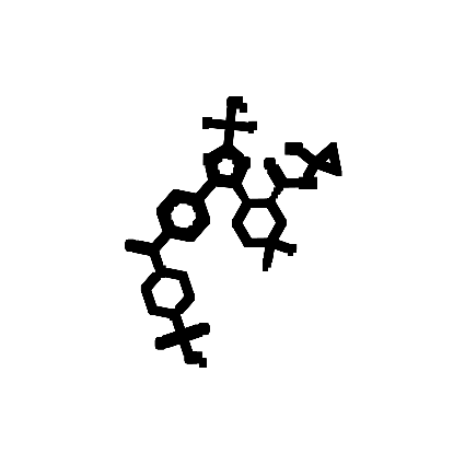 CS(=O)(=O)N1CCN(C(=O)c2ccc(-c3nc(C(F)(F)C(F)(F)F)oc3[C@@H]3CCC(F)(F)C[C@H]3C(=O)NC3(C#N)CC3)cc2)CC1